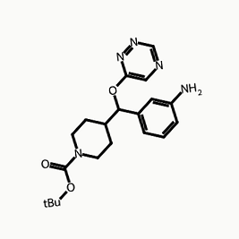 CC(C)(C)OC(=O)N1CCC(C(Oc2cncnn2)c2cccc(N)c2)CC1